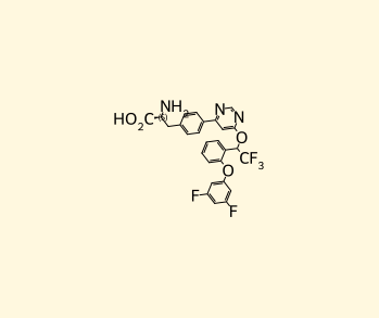 N[C@@H](Cc1ccc(-c2cc(OC(c3ccccc3Oc3cc(F)cc(F)c3)C(F)(F)F)ncn2)cc1)C(=O)O